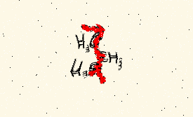 CC1(C)c2cc(/C=C/c3ccc4c(c3)C(C)(C)c3cc(N(c5ccccc5)c5ccc(-c6ccc7ccccc7c6)cc5)ccc3-4)ccc2-c2ccc(/C=C/c3ccc4c(c3)C(C)(C)c3cc(N(c5ccccc5)c5ccc(-c6ccc7ccccc7c6)cc5)ccc3-4)cc21